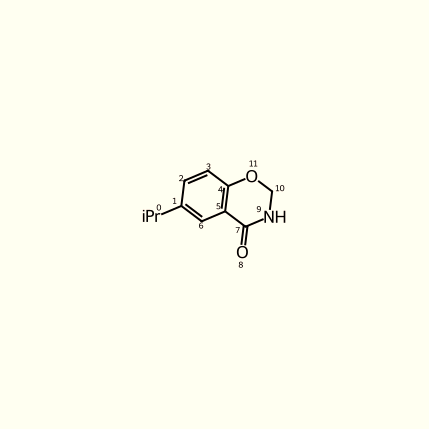 CC(C)c1ccc2c(c1)C(=O)NCO2